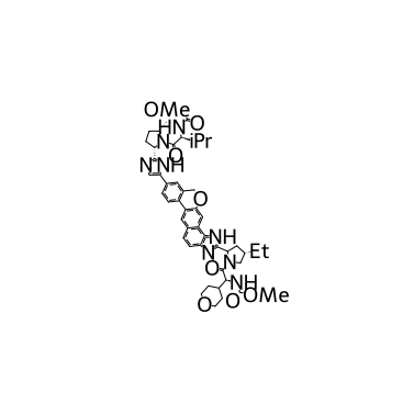 CC[C@H]1CC(c2nc3ccc4cc5c(cc4c3[nH]2)OCc2cc(-c3cnc([C@@H]4CC[C@H](C)N4C(=O)[C@@H](NC(=O)OC)C(C)C)[nH]3)ccc2-5)N(C(=O)[C@@H](NC(=O)OC)C2CCOCC2)C1